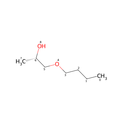 CCCCOC[C@H](C)O